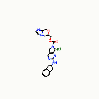 Cl.O=C(OCC1Cn2ccnc2CO1)N1Cc2cnc(NC3Cc4ccccc4C3)nc2C1